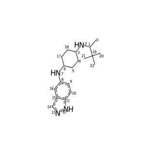 CC(NC1CCC(Nc2ccc3[nH]ncc3c2)CC1)C(C)(C)C